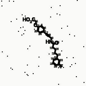 O=C(O)COc1ccc(C#CCNC(=O)CCCCc2cccc(F)c2)cc1